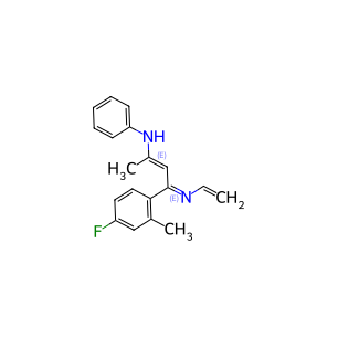 C=C/N=C(\C=C(/C)Nc1ccccc1)c1ccc(F)cc1C